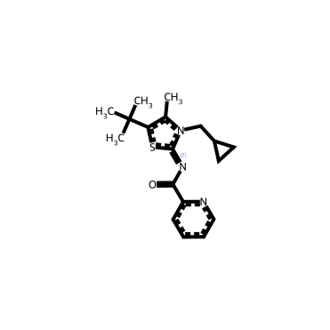 Cc1c(C(C)(C)C)s/c(=N\C(=O)c2ccccn2)n1CC1CC1